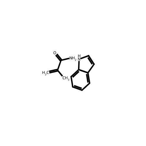 C=C(C)C(N)=O.c1ccc2[nH]ccc2c1